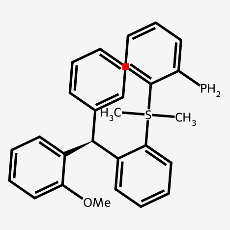 COc1ccccc1[C@@H](c1ccccc1)c1ccccc1S(C)(C)c1ccccc1P